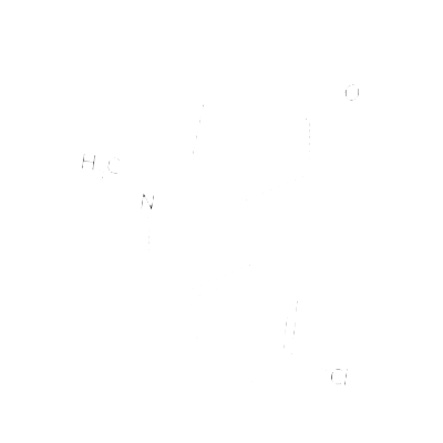 CN(Cc1ccc(Cl)cc1)C1CCC(=O)CC1